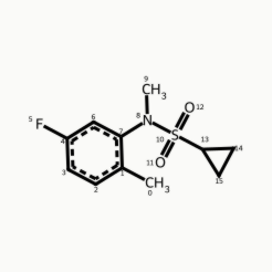 Cc1ccc(F)cc1N(C)S(=O)(=O)C1CC1